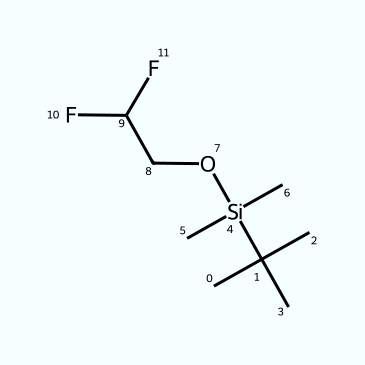 CC(C)(C)[Si](C)(C)OCC(F)F